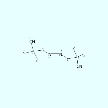 CC(C)(C#N)CN=NCC(C)(C)C#N